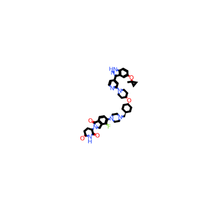 CC1(Oc2ccc3[nH]nc(-c4ccnc(N5CCC(O[C@H]6CC[C@H](CN7CCN(c8ccc9c(c8F)CN(C8CCC(=O)NC8=O)C9=O)CC7)CC6)CC5)c4)c3c2)CC1